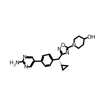 Nc1ncc(-c2ccc([C@H](c3noc(N4CCC(O)CC4)n3)C3CC3)cc2)cn1